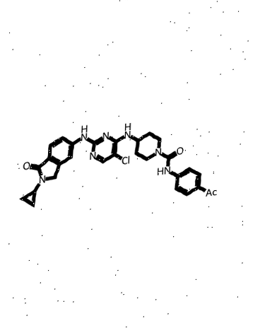 CC(=O)c1ccc(NC(=O)N2CCC(Nc3nc(Nc4ccc5c(c4)CN(C4CC4)C5=O)ncc3Cl)CC2)cc1